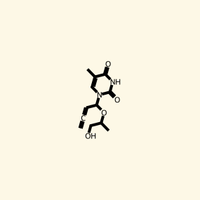 C=C=CC(OC(C)CO)n1cc(C)c(=O)[nH]c1=O